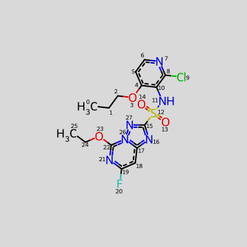 CCCOc1ccnc(Cl)c1NS(=O)(=O)c1nc2cc(F)nc(OCC)n2n1